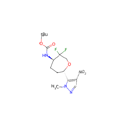 Cn1ncc([N+](=O)[O-])c1[C@@H]1CC[C@@H](NC(=O)OC(C)(C)C)C(F)(F)CO1